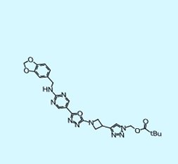 CC(C)(C)C(=O)OCn1cc(C2CN(c3nnc(-c4cnc(NCc5ccc6c(c5)OCO6)nc4)o3)C2)nn1